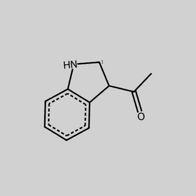 CC(=O)C1[C]Nc2ccccc21